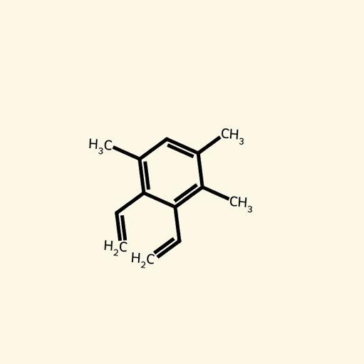 C=Cc1c(C)cc(C)c(C)c1C=C